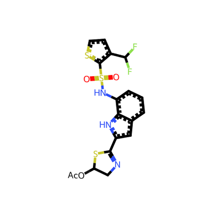 CC(=O)OC1CN=C(c2cc3cccc(NS(=O)(=O)c4sccc4C(F)F)c3[nH]2)S1